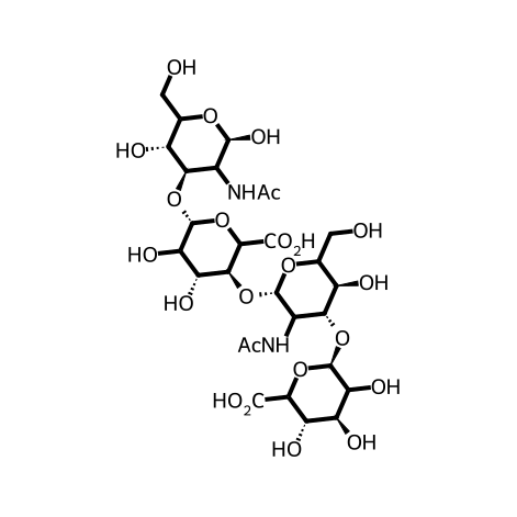 CC(=O)NC1[C@H](O[C@@H]2C(C(=O)O)O[C@@H](O[C@@H]3C(NC(C)=O)[C@H](O)OC(CO)[C@H]3O)C(O)[C@H]2O)OC(CO)[C@@H](O)[C@@H]1O[C@@H]1OC(C(=O)O)[C@@H](O)[C@H](O)C1O